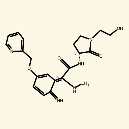 CN/C(C(=O)N[C@@H]1CCN(CCO)C1=O)=C1/C=C(OCc2ccccn2)C=CC1=N